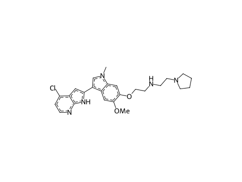 COc1cc2c(-c3cc4c(Cl)ccnc4[nH]3)cn(C)c2cc1OCCNCCN1CCCC1